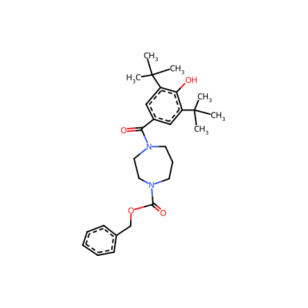 CC(C)(C)c1cc(C(=O)N2CCCN(C(=O)OCc3ccccc3)CC2)cc(C(C)(C)C)c1O